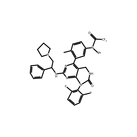 Cc1ccc(N(C(=O)C(F)(F)F)C(C)C)cc1-c1nc(NC(CN2CCCC2)c2ccccc2)nc2c1CNC(=O)N2c1c(F)cccc1F